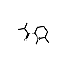 CC(C)C(=O)[C@@H]1CCCC(C)N1C